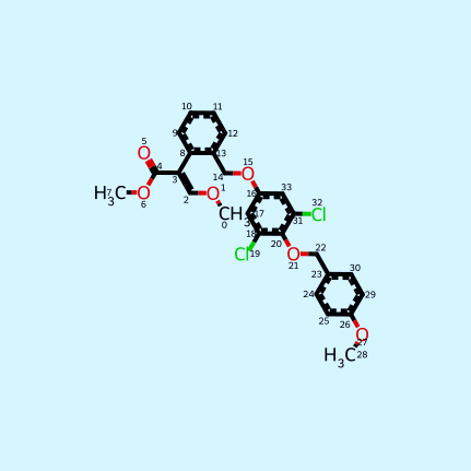 CO/C=C(/C(=O)OC)c1ccccc1COc1cc(Cl)c(OCc2ccc(OC)cc2)c(Cl)c1